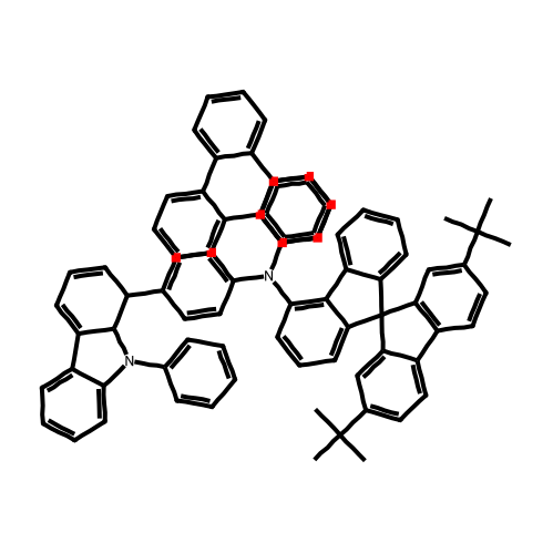 CC(C)(C)c1ccc2c(c1)C1(c3cc(C(C)(C)C)ccc3-2)c2ccccc2-c2c(N(c3ccc(C4C=CC=C5c6ccccc6N(c6ccccc6)C54)cc3)c3ccccc3-c3ccccc3-c3ccccc3-c3ccccc3)cccc21